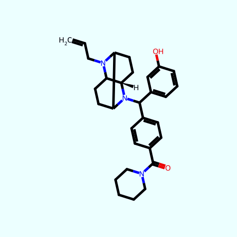 C=CCN1C2CC[C@H]3C1CCC2N3C(c1ccc(C(=O)N2CCCCC2)cc1)c1cccc(O)c1